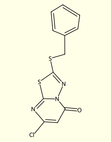 O=c1cc(Cl)nc2sc(SCc3ccccc3)nn12